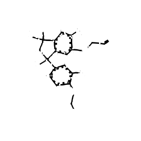 C=CCOc1cc2c(cc1N)C(C)(C)CC2(C)c1ccc(OCC)c(N)c1